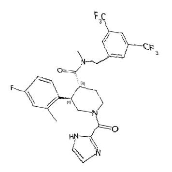 Cc1cc(F)ccc1[C@@H]1CN(C(=O)c2ncc[nH]2)CC[C@H]1C(=O)N(C)Cc1cc(C(F)(F)F)cc(C(F)(F)F)c1